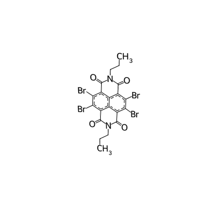 CCCN1C(=O)c2c(Br)c(Br)c3c4c(c(Br)c(Br)c(c24)C1=O)C(=O)N(CCC)C3=O